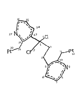 ClC(Cl)(CCc1cccnc1[CH2][Pt])c1cccnc1[CH2][Pt]